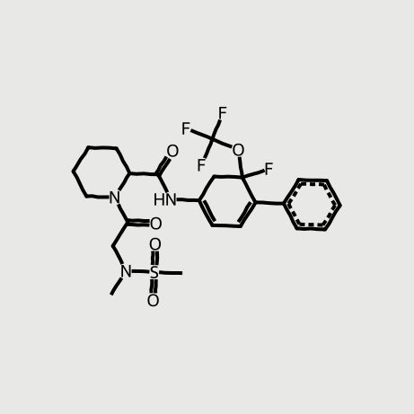 CN(CC(=O)N1CCCCC1C(=O)NC1=CC=C(c2ccccc2)C(F)(OC(F)(F)F)C1)S(C)(=O)=O